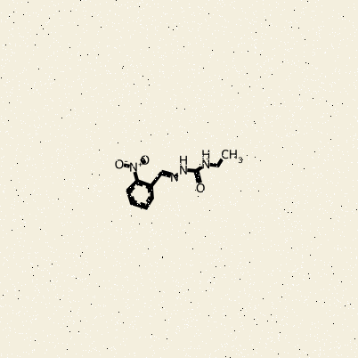 CCNC(=O)N/N=C/c1ccccc1[N+](=O)[O-]